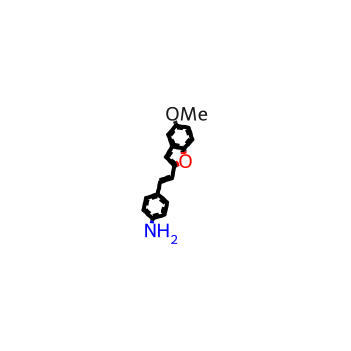 COc1ccc2oc(C=Cc3ccc(N)cc3)cc2c1